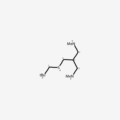 CNCC(CNC)CSCC(C)(C)C